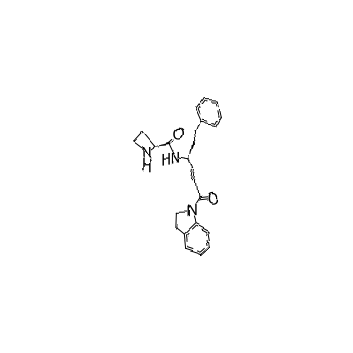 O=C(N[C@H](C=CC(=O)N1CCc2ccccc21)CCc1ccccc1)[C@@H]1CCN1